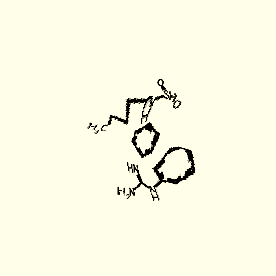 CCCCN[SH](=O)=O.N=C(N)Nc1ccccc1.c1ccccc1